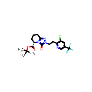 CC(C)(C)OC(=O)[C@@H]1CCCc2nn(CCc3ncc(C(F)(F)F)cc3Cl)c(=O)n21